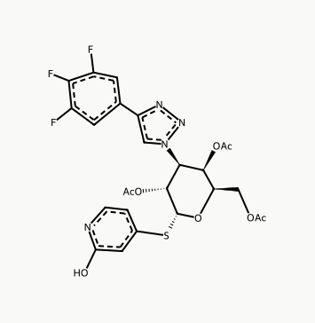 CC(=O)OC[C@H]1O[C@H](Sc2ccnc(O)c2)[C@H](OC(C)=O)[C@@H](n2cc(-c3cc(F)c(F)c(F)c3)nn2)[C@H]1OC(C)=O